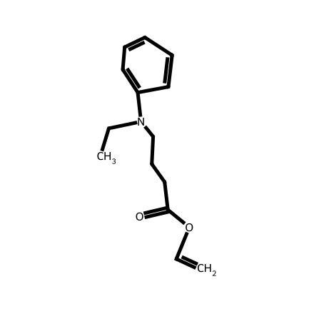 C=COC(=O)CCCN(CC)c1ccccc1